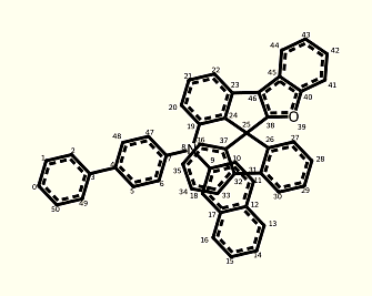 c1ccc(-c2ccc(N(c3ccc4ccccc4c3)c3cccc4c3C3(c5ccccc5-c5ccccc53)c3oc5ccccc5c3-4)cc2)cc1